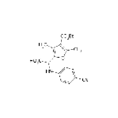 CCOC(=O)c1c(C)oc(C(Nc2ccc(C#N)cc2)C(=O)O)c1C